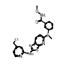 CONC(=O)c1cccc(N(C)c2ccc3nc(Nc4cc(CCl)ccn4)sc3n2)c1